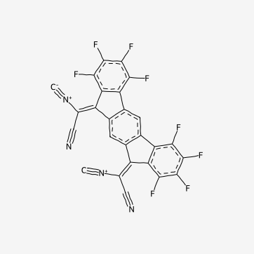 [C-]#[N+]/C(C#N)=C1/c2cc3c(cc2-c2c(F)c(F)c(F)c(F)c21)-c1c(F)c(F)c(F)c(F)c1/C3=C(\C#N)[N+]#[C-]